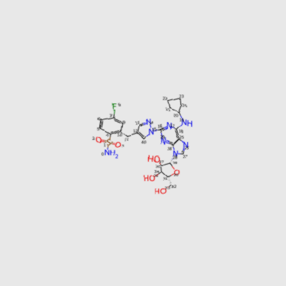 NS(=O)(=O)c1ccc(F)cc1Cc1cnn(-c2nc(NC3CCCC3)c3ncn([C@@H]4O[C@H](CO)C(O)C4O)c3n2)c1